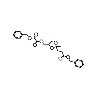 CC1(CCC(=O)OCc2ccccc2)OCC(COC(=O)C(=O)OCc2ccccc2)O1